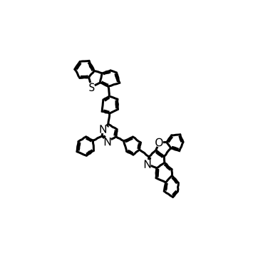 c1ccc(-c2nc(-c3ccc(-c4nc5cc6ccccc6cc5c5c4oc4ccccc45)cc3)cc(-c3ccc(-c4cccc5c4sc4ccccc45)cc3)n2)cc1